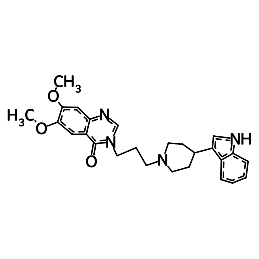 COc1cc2ncn(CCCN3CCC(c4c[nH]c5ccccc45)CC3)c(=O)c2cc1OC